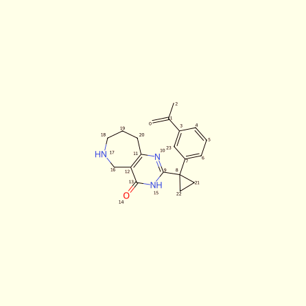 C=C(C)c1cccc(C2(c3nc4c(c(=O)[nH]3)CNCCC4)CC2)c1